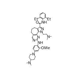 CCc1cccc(CC)c1NC(=O)c1nn(CCN(C)C)c2c1CCCc1cnc(Nc3ccc(N4CCC(N(C)C)CC4)cc3OC)nc1-2